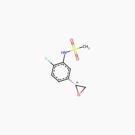 CS(=O)(=O)Nc1cc([C@@H]2CO2)ccc1F